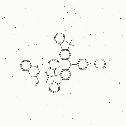 C=CC1=C(C2=C(C)C3(c4ccccc42)c2ccccc2-c2ccc(N(c4ccc(-c5ccccc5)cc4)c4ccc5c(c4)C(C)(C)c4ccccc4-5)cc23)Sc2ccccc2S1